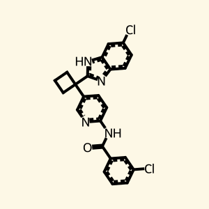 O=C(Nc1ccc(C2(c3nc4ccc(Cl)cc4[nH]3)CCC2)cn1)c1cccc(Cl)c1